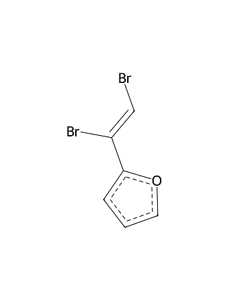 BrC=C(Br)c1ccco1